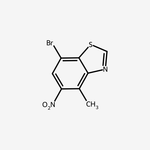 Cc1c([N+](=O)[O-])cc(Br)c2scnc12